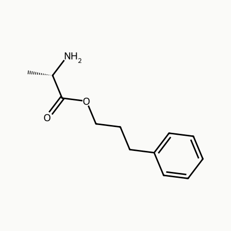 C[C@H](N)C(=O)OCCCc1ccccc1